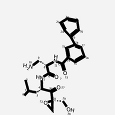 CC(C)C[C@H](NC(=O)[C@H](CN)NC(=O)c1cccc(-c2ccccc2)c1)C(=O)[C@@]1(CO)CO1